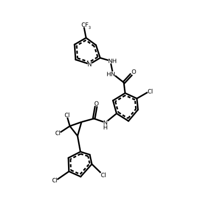 O=C(NNc1cc(C(F)(F)F)ccn1)c1cc(NC(=O)C2C(c3cc(Cl)cc(Cl)c3)C2(Cl)Cl)ccc1Cl